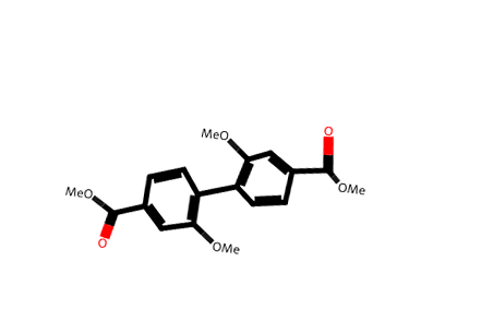 COC(=O)c1ccc(-c2ccc(C(=O)OC)cc2OC)c(OC)c1